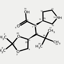 CC1(C)OC[C@H](C(N(C(=O)O)[C@H]2CCNC2)C(C)(C)C)O1